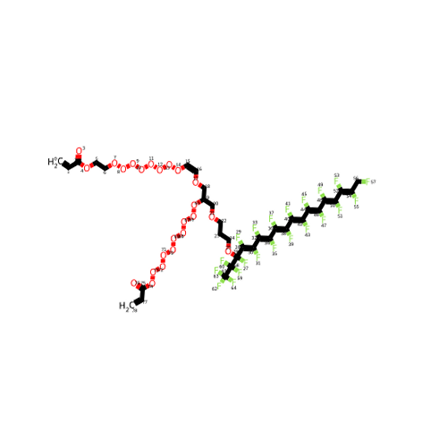 C=CC(=O)OCCOOOOOOOO/C=C\OCC(COCCCOC(F)(/C(F)=C(F)/C(F)=C(F)/C(F)=C(F)/C(F)=C(F)/C(F)=C(F)/C(F)=C(F)/C(F)=C(\F)CF)C(F)(F)C(F)(F)F)OOOOOOOOOOC(=O)C=C